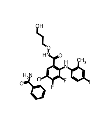 Cc1cc(I)ccc1Nc1c(C(=O)NOCCCO)cc(Cl)c(F)c1F.NC(=O)c1ccccc1